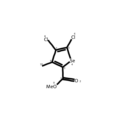 COC(=O)c1[se]c(Cl)c(Cl)c1C